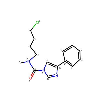 CN(CCCCCl)C(=O)n1cnc(-c2ccccc2)c1